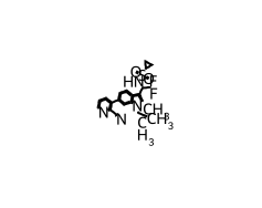 CC(C)(C)Cn1cc(C(NS(=O)(=O)C2CC2)C(F)F)c2ccc(-c3cccnc3C#N)cc21